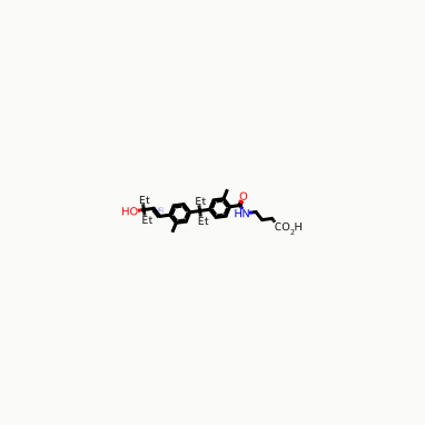 CCC(O)(/C=C/c1ccc(C(CC)(CC)c2ccc(C(=O)NCCCC(=O)O)c(C)c2)cc1C)CC